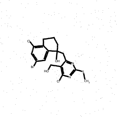 CSc1nc(Cl)c(CO)c(CC2(O)CCCc3c(Cl)cc(Br)cc32)n1